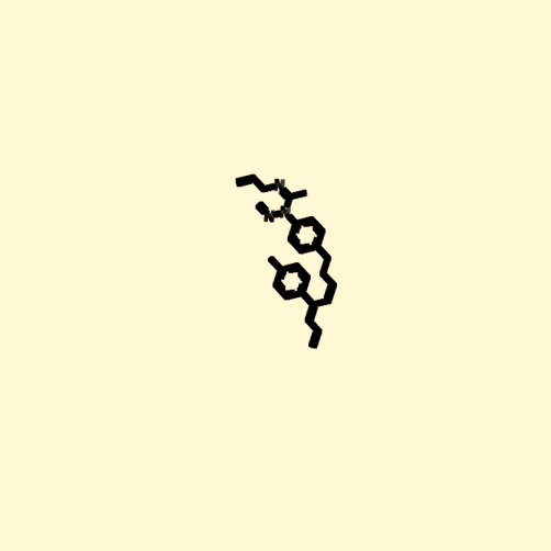 C=C/C=C(\C=C/CCc1ccc(N(N=C)/C(C)=N\CC=C)cc1)c1ccc(C)cc1